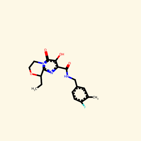 CCC1OCCn2c1nc(C(=O)NCc1ccc(F)c(C)c1)c(O)c2=O